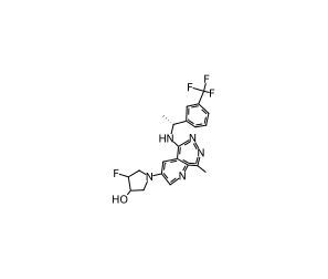 Cc1nnc(N[C@H](C)c2cccc(C(F)(F)F)c2)c2cc(N3CC(O)C(F)C3)cnc12